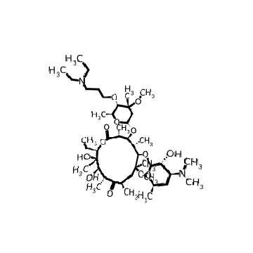 CC[C@H]1OC(=O)[C@H](C)[C@@H](O[C@H]2C[C@@](C)(OC)[C@@H](OCCCN(CC)CC)[C@H](C)O2)[C@H](C)[C@@H](O[C@@H]2O[C@H](C)C[C@H](N(C)C)[C@H]2O)[C@](C)(OC)C[C@@H](C)C(=O)[C@H](C)[C@@H](O)[C@]1(C)O